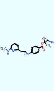 CC(C)(CN)OC(=O)c1ccc(NCCc2cccc(NC(=O)O)n2)cc1